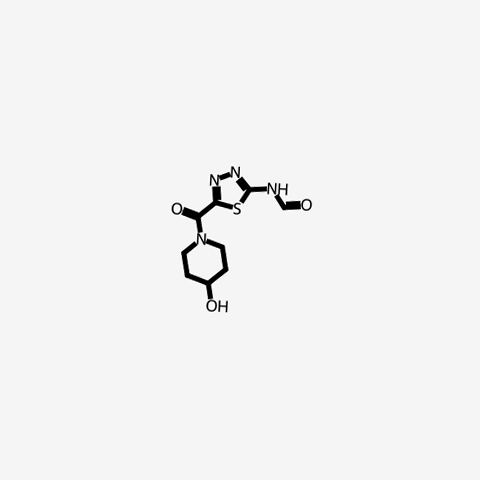 O=CNc1nnc(C(=O)N2CCC(O)CC2)s1